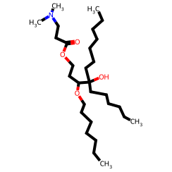 CCCCCCCOC(CCOC(=O)CCN(C)C)C(O)(CCCCCC)CCCCCCC